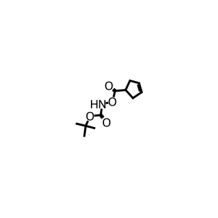 CC(C)(C)OC(=O)NOC(=O)C1CC=CC1